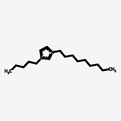 CCCCCCCCCn1cc[n+](CCCCC)c1